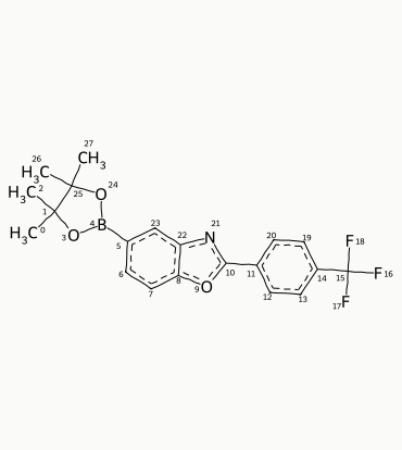 CC1(C)OB(c2ccc3oc(-c4ccc(C(F)(F)F)cc4)nc3c2)OC1(C)C